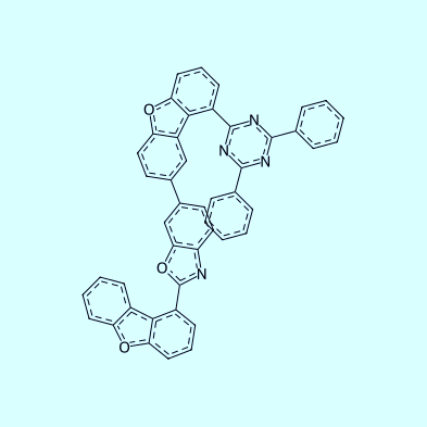 c1ccc(-c2nc(-c3ccccc3)nc(-c3cccc4oc5ccc(-c6ccc7nc(-c8cccc9oc%10ccccc%10c89)oc7c6)cc5c34)n2)cc1